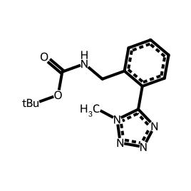 Cn1nnnc1-c1ccccc1CNC(=O)OC(C)(C)C